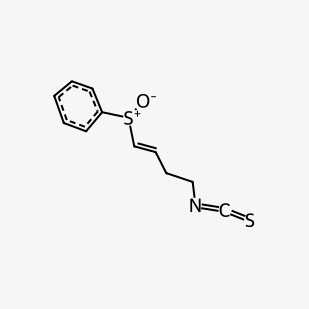 [O-][S+](C=CCCN=C=S)c1ccccc1